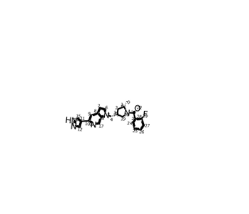 C[C@H]1C[C@@H](Cn2ccc3cc(-c4cn[nH]c4)ncc32)CN1C(=O)c1ccccc1F